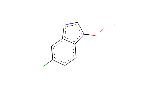 O=COc1c[nH]c2cc(Br)ccc12